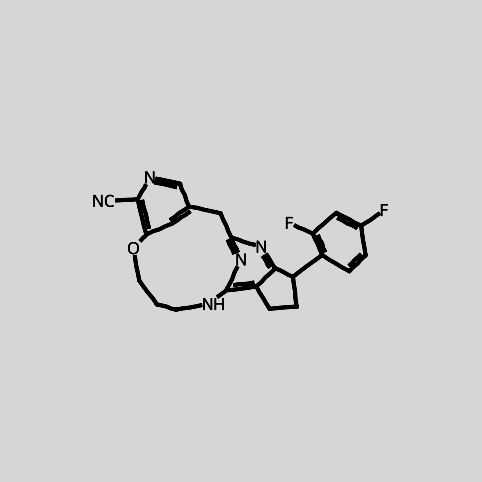 N#Cc1ncc2cc1OCCCNc1nc(nc3c1CCC3c1ccc(F)cc1F)C2